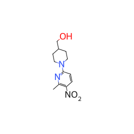 Cc1nc(N2CCC(CO)CC2)ccc1[N+](=O)[O-]